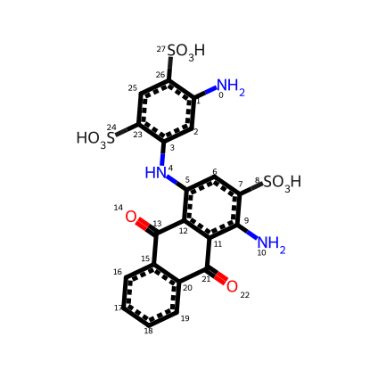 Nc1cc(Nc2cc(S(=O)(=O)O)c(N)c3c2C(=O)c2ccccc2C3=O)c(S(=O)(=O)O)cc1S(=O)(=O)O